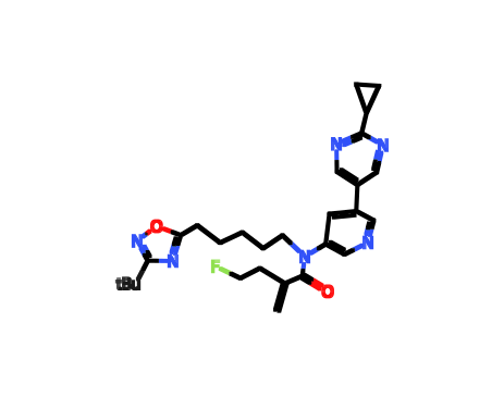 C=C(CCF)C(=O)N(CCCCCc1nc(C(C)(C)C)no1)c1cncc(-c2cnc(C3CC3)nc2)c1